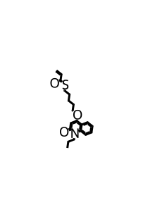 C=CC(=O)SCCCCCOc1cc(=O)n(CCC)c2ccccc12